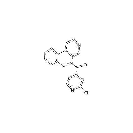 O=C(Nc1cnccc1-c1ccccc1F)c1ccnc(Cl)n1